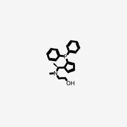 C[C@@H](C1C=CC=C1P(c1ccccc1)c1ccccc1)N(C)CCO